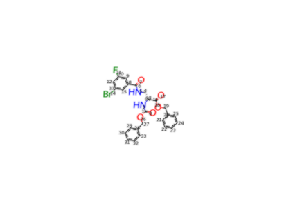 O=C(N[C@H](CNC(=O)c1cc(F)cc(Br)c1)C(=O)OCc1ccccc1)OCc1ccccc1